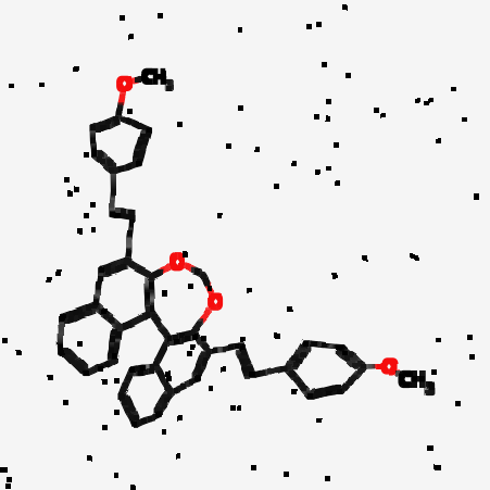 COc1ccc(/C=C/c2cc3ccccc3c3c2OCOc2c(/C=C/c4ccc(OC)cc4)cc4ccccc4c2-3)cc1